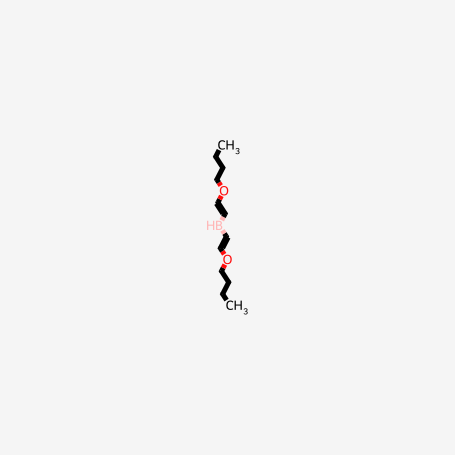 CCCCOC=CBC=COCCCC